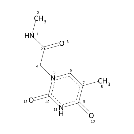 CNC(=O)Cn1cc(C)c(=O)[nH]c1=O